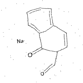 O=CC1C=Cc2ccccc2C1=O.[Na]